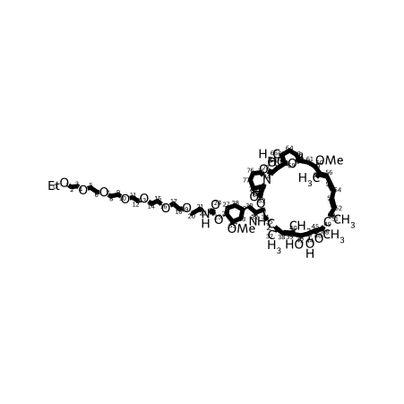 CCOCCOCCOCCOCCOCCOCCOCCNC(=O)O[C@@H]1CC[C@@H](C[C@@H](N)[C@@H]2CC[C@H](C)/C=C(\C)[C@@H](O)[C@@H](O)C(=O)[C@H](C)C[C@H](C)/C=C/C=C/C=C(\C)[C@@H](OC)C[C@@H]3CC[C@@H](C)[C@@](O)(O3)C(=O)C(=O)N3CCCC[C@H]3C(=O)O2)C[C@H]1OC